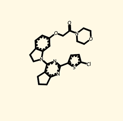 O=C(COc1ccc2c(c1)N(c1nc(-c3ccc(Cl)s3)nc3c1CCC3)CC2)N1CCOCC1